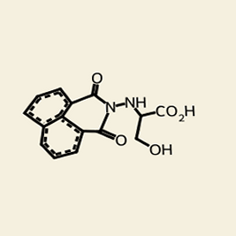 O=C(O)C(CO)NN1C(=O)c2cccc3cccc(c23)C1=O